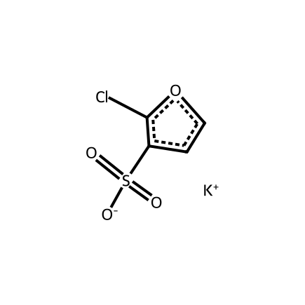 O=S(=O)([O-])c1ccoc1Cl.[K+]